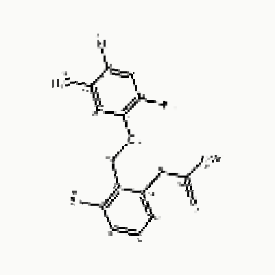 CCc1cc(F)c(OCc2c(Br)cccc2CC(=O)OC)cc1C